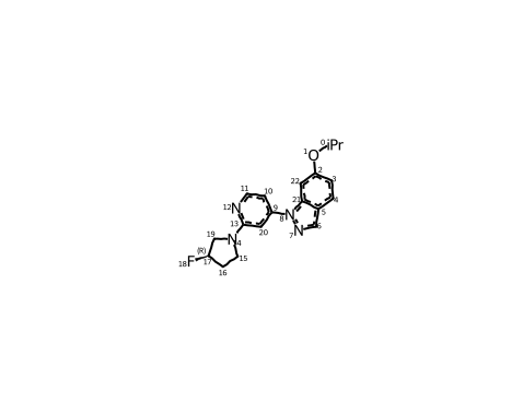 CC(C)Oc1ccc2cnn(-c3ccnc(N4CC[C@@H](F)C4)c3)c2c1